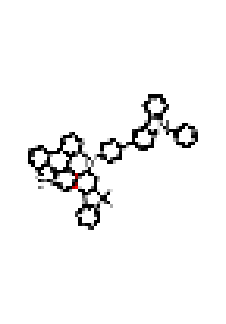 CC1(C)c2ccccc2-c2ccc(N(c3ccc(-c4ccc5c(c4)c4ccccc4n5-c4ccccc4)cc3)c3cccc4c5cccc6sc7cccc(c34)c7c65)cc21